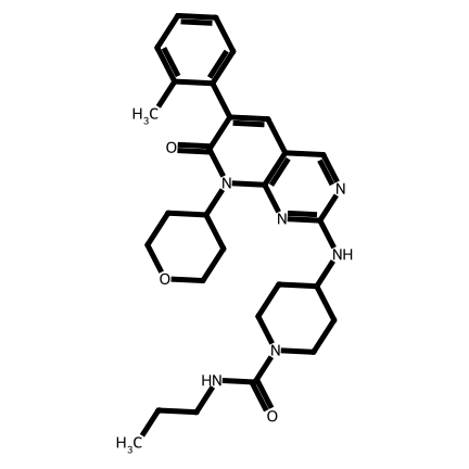 CCCNC(=O)N1CCC(Nc2ncc3cc(-c4ccccc4C)c(=O)n(C4CCOCC4)c3n2)CC1